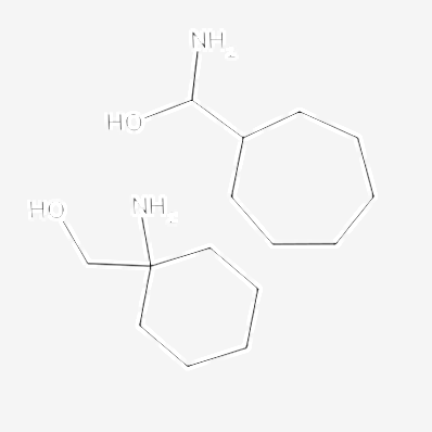 NC(O)C1CCCCCC1.NC1(CO)CCCCC1